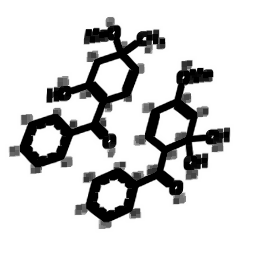 COC1(C)C=CC(C(=O)c2ccccc2)=C(O)C1.COC1=CC(O)(O)C(C(=O)c2ccccc2)C=C1